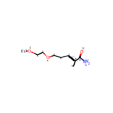 CCOCCOCC/C=C(\C)C(N)=O